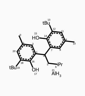 Cc1cc(C(CC(C)C)c2cc(C)cc(C(C)(C)C)c2O)c(O)c(C(C)(C)C)c1.[AlH3]